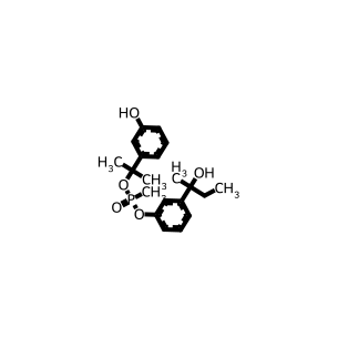 CCC(C)(O)c1cccc(OP(C)(=O)OC(C)(C)c2cccc(O)c2)c1